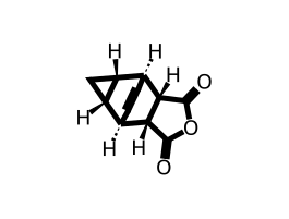 O=C1OC(=O)[C@H]2[C@H]3C=C[C@H]([C@@H]4C[C@H]34)[C@@H]12